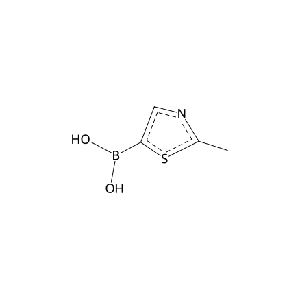 Cc1ncc(B(O)O)s1